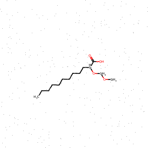 CCCCCCCCCC[SiH](O[SiH2]O[SiH3])C(=O)O